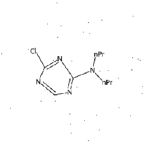 CCCN(CCC)c1ncnc(Cl)n1